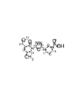 Cc1cc2c(c(-c3nnc(-c4cccc(C(=O)O)c4)o3)c1)OCOC2